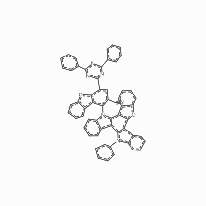 N#Cc1cc(-c2nc(-c3ccccc3)nc(-c3ccccc3)n2)c2oc3ccccc3c2c1-n1c2ccccc2c2c3c(c4ccccc4n3-c3ccccc3)c3oc4ccccc4c3c21